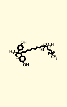 CCC(CCCCCCCCCC1c2ccc(O)cc2OCC1(C)c1ccc(O)cc1)(CCCC(F)(F)C(F)(F)F)C(=O)O